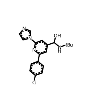 CC(C)(C)NC(O)c1cc(-c2ccc(Cl)cc2)nc(-n2ccnc2)c1